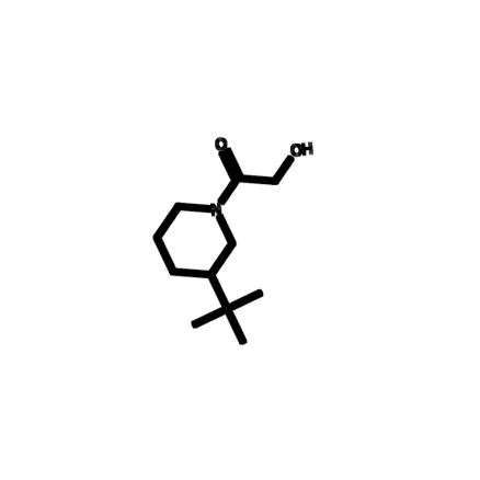 CC(C)(C)C1CCCN(C(=O)CO)C1